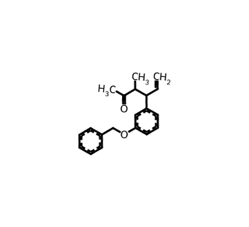 C=CC(c1cccc(OCc2ccccc2)c1)C(C)C(C)=O